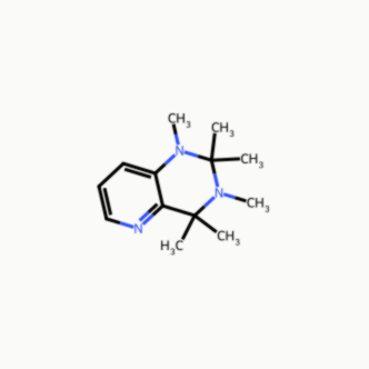 CN1c2cccnc2C(C)(C)N(C)C1(C)C